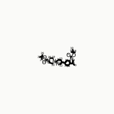 Cc1cn(C(=O)OC(C)(C)C)c2cc(-c3ccc(N4CCN(C(=O)OC(C)(C)C)CC4)nc3)ccc12